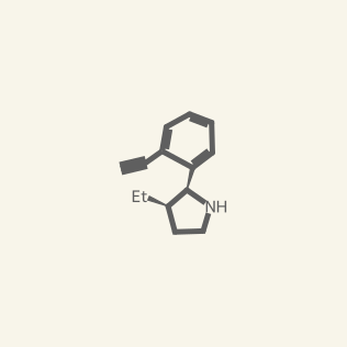 C#Cc1ccccc1[C@H]1NCC[C@H]1CC